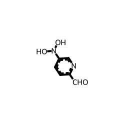 O=Cc1ccc(N(O)O)cn1